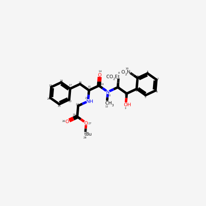 CCOC(=O)C(C(O)c1ccccc1[N+](=O)[O-])N(C)C(=O)C(Cc1ccccc1)NCC(=O)OC(C)(C)C